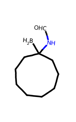 BC1(NC=O)CCCCCCCC1